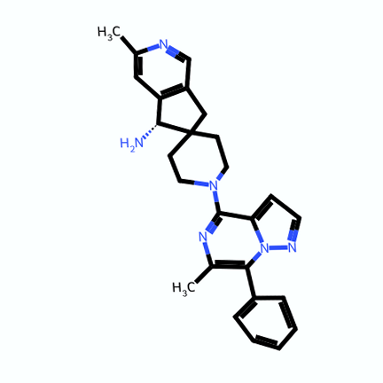 Cc1cc2c(cn1)CC1(CCN(c3nc(C)c(-c4ccccc4)n4nccc34)CC1)[C@@H]2N